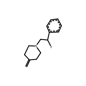 C=C1CCN(CC(F)c2ccccc2)CC1